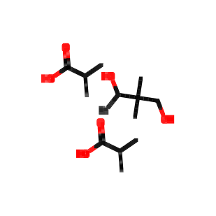 CC(C)C(=O)O.CC(C)C(=O)O.CCC(O)C(C)(C)CO